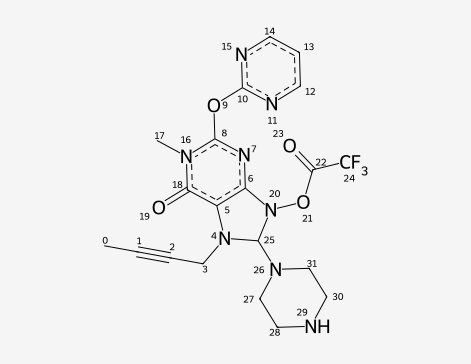 CC#CCN1c2c(nc(Oc3ncccn3)n(C)c2=O)N(OC(=O)C(F)(F)F)C1N1CCNCC1